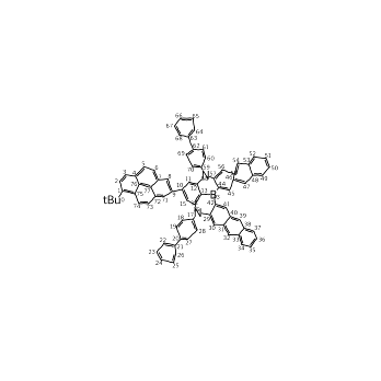 CC(C)(C)c1ccc2ccc3cc(-c4cc5c6c(c4)N(c4ccc(-c7ccccc7)cc4)c4cc7cc8ccccc8cc7cc4B6c4cc6cc7ccccc7cc6cc4N5c4ccc(-c5ccccc5)cc4)cc4ccc1c2c34